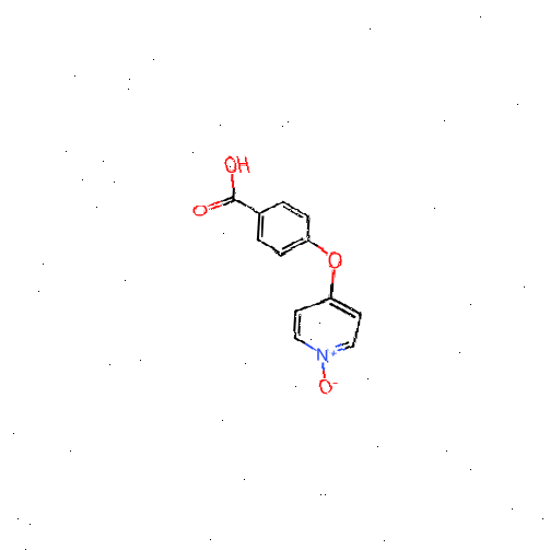 O=C(O)c1ccc(Oc2cc[n+]([O-])cc2)cc1